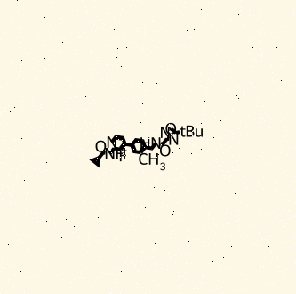 Cc1cc(-c2ccnc(NC(=O)C3CC3)c2F)ccc1CNC(=O)c1noc(C(C)(C)C)n1